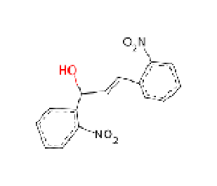 O=[N+]([O-])c1ccccc1/C=C/C(O)c1ccccc1[N+](=O)[O-]